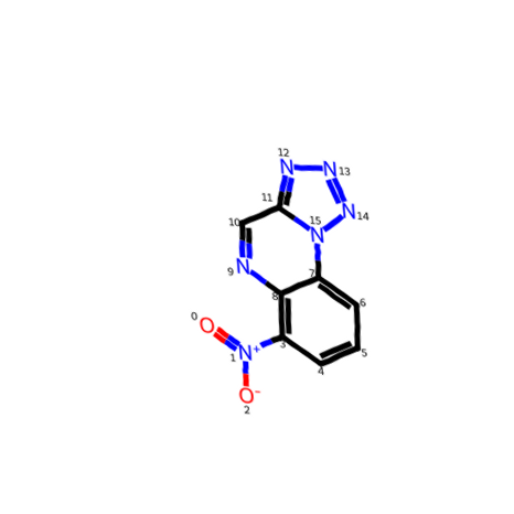 O=[N+]([O-])c1cccc2c1ncc1nnnn12